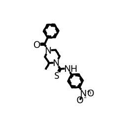 CC1CN(C(=O)c2ccccc2)CCN1C(=S)Nc1ccc([N+](=O)[O-])cc1